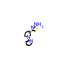 Nc1nc([C@H]2CCCN(c3ccccn3)C2)cs1